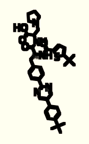 CC(C)(C)c1ccc(-c2cnc(-c3ccc(C[C@H](NC(=O)c4ccc(C(C)(C)C)s4)C(=O)NC(CN4CCCC4)C(=O)O)cc3)nc2)cc1